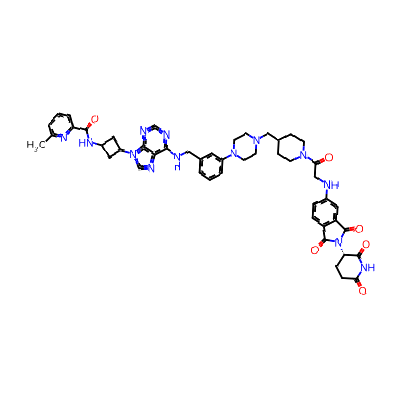 Cc1cccc(C(=O)NC2CC(n3cnc4c(NCc5cccc(N6CCN(CC7CCN(C(=O)CNc8ccc9c(c8)C(=O)N([C@H]8CCC(=O)NC8=O)C9=O)CC7)CC6)c5)ncnc43)C2)n1